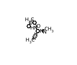 Cc1cn(-c2cc(NC(=O)c3ccc(C)c(Oc4ccccc4)c3)cc(N3CCN(C)CC3)c2)cn1